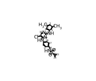 Cc1cc(C)cc(Nc2ncc(Cl)c(Nc3ccc(CNS(=O)(=O)C4CC4)cc3)n2)c1